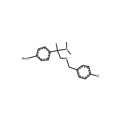 COc1ccc(C(C)(COCc2ccc(Cl)cc2)N(C)C)cc1